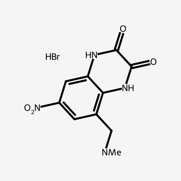 Br.CNCc1cc([N+](=O)[O-])cc2[nH]c(=O)c(=O)[nH]c12